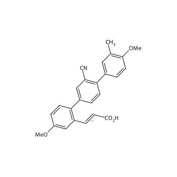 COc1ccc(-c2ccc(-c3ccc(OC)c(C)c3)c(C#N)c2)c(/C=C/C(=O)O)c1